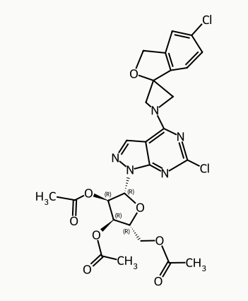 CC(=O)OC[C@H]1O[C@@H](n2ncc3c(N4CC5(C4)OCc4cc(Cl)ccc45)nc(Cl)nc32)[C@H](OC(C)=O)[C@@H]1OC(C)=O